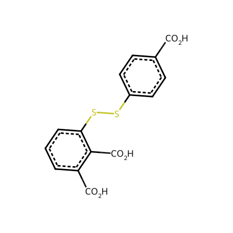 O=C(O)c1ccc(SSc2cccc(C(=O)O)c2C(=O)O)cc1